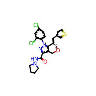 O=C(NN1CCCC1)c1nn(-c2ccc(Cl)cc2Cl)c2c1COC/C2=C\c1ccsc1